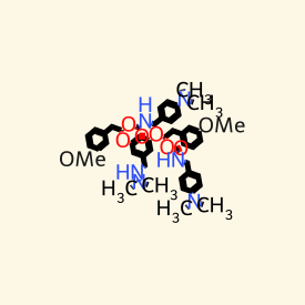 COc1cccc(CC(OC(=O)NCc2ccc(N(C)C)cc2)Oc2cc(CNN(C)C)cc(OC(Cc3cccc(OC)c3)OC(=O)NCc3ccc(N(C)C)cc3)c2)c1